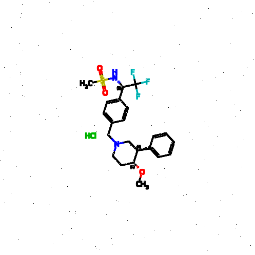 CO[C@@H]1CCN(Cc2ccc([C@H](NS(C)(=O)=O)C(F)(F)F)cc2)C[C@H]1c1ccccc1.Cl